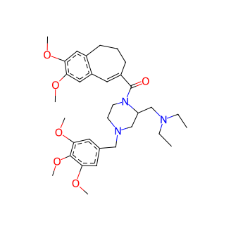 CCN(CC)CC1CN(Cc2cc(OC)c(OC)c(OC)c2)CCN1C(=O)C1=Cc2cc(OC)c(OC)cc2CCC1